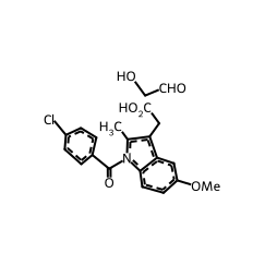 COc1ccc2c(c1)c(CC(=O)O)c(C)n2C(=O)c1ccc(Cl)cc1.O=CCO